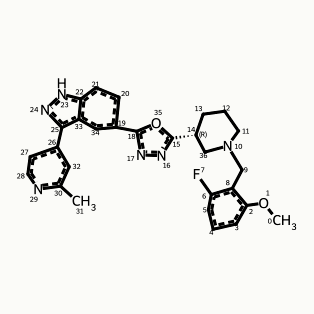 COc1cccc(F)c1CN1CCC[C@@H](c2nnc(-c3ccc4[nH]nc(-c5ccnc(C)c5)c4c3)o2)C1